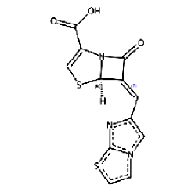 O=C(O)C1=CS[C@@H]2/C(=C\c3cn4ccsc4n3)C(=O)N12